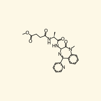 COC(=O)CCC(=O)N[C@@H](C)C(=O)NC1N=C(c2ccccn2)c2ccccc2N(C)C1=O